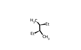 CC[C@H](C)[C@@H](C)CC